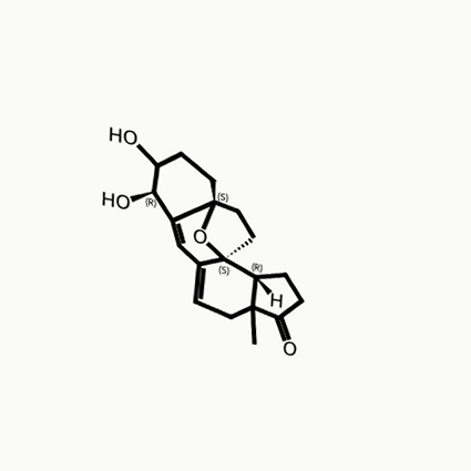 CC12CC=C3C=C4[C@@H](O)C(O)CC[C@]45CC[C@]3(O5)[C@@H]1CCC2=O